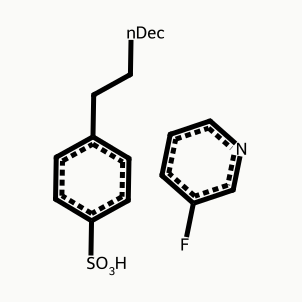 CCCCCCCCCCCCc1ccc(S(=O)(=O)O)cc1.Fc1cccnc1